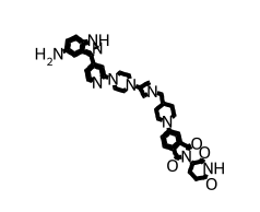 Nc1ccc2[nH]nc(-c3ccnc(N4CCN(C5CN(CC6CCN(c7ccc8c(c7)C(=O)N(C7CCC(=O)NC7=O)C8=O)CC6)C5)CC4)c3)c2c1